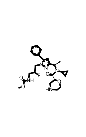 COC(=O)NCC(F)Cn1nc([C@@H](C)N(C(=O)[C@H]2CNCCO2)C2CC2)cc1-c1ccccc1